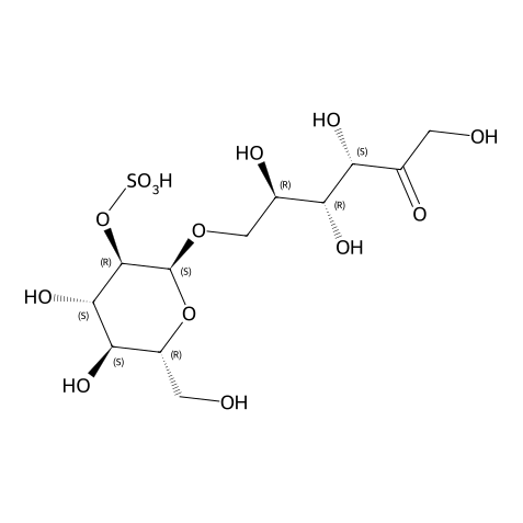 O=C(CO)[C@@H](O)[C@H](O)[C@H](O)CO[C@H]1O[C@H](CO)[C@@H](O)[C@H](O)[C@H]1OS(=O)(=O)O